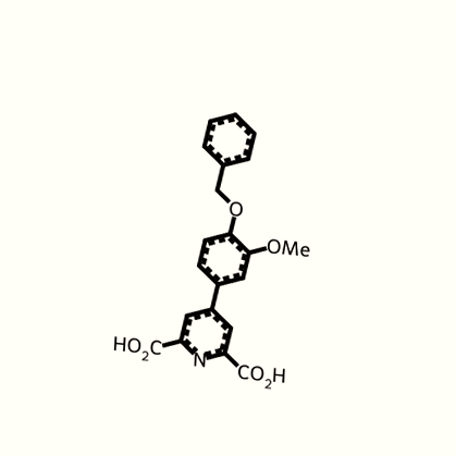 COc1cc(-c2cc(C(=O)O)nc(C(=O)O)c2)ccc1OCc1ccccc1